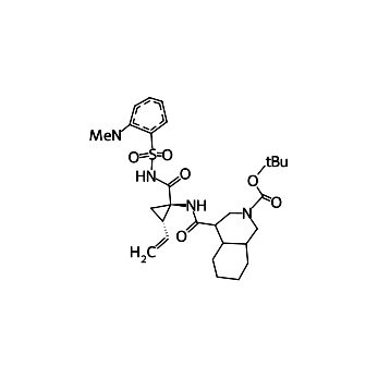 C=C[C@@H]1C[C@]1(NC(=O)C1CN(C(=O)OC(C)(C)C)CC2CCCCC21)C(=O)NS(=O)(=O)c1ccccc1NC